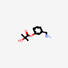 CC(C)(O)C(=O)Oc1cccc(CN)c1